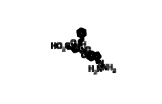 NC(N)=NCC1CCc2cc(S(=O)(=O)NC[C@@H]3C[C@@H](CC(=O)O)C(=O)N3CCCc3ccccc3)ccc21